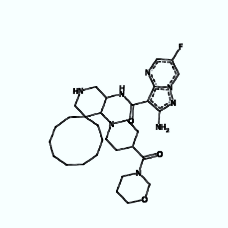 Nc1nn2cc(F)cnc2c1C(=O)NC1CNCC2(CCCCCCCCC2)C1N1CCC(C(=O)N2CCCOC2)CC1